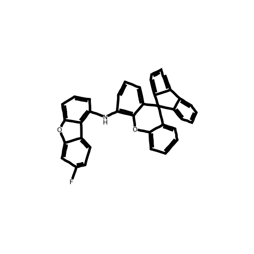 Fc1ccc2c(c1)oc1cccc(Nc3cccc4c3Oc3ccccc3C43c4ccccc4-c4ccccc43)c12